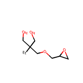 CCC(CO)(CO)COCC1CO1